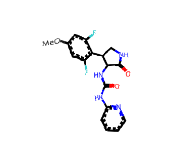 COc1cc(F)c(C2CNC(=O)C2NC(=O)Nc2ccccn2)c(F)c1